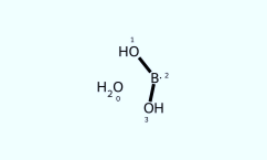 O.O[B]O